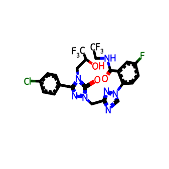 O=C(NCC(F)(F)F)c1cc(F)ccc1-n1cnc(Cn2nc(-c3ccc(Cl)cc3)n(CC(O)C(F)(F)F)c2=O)n1